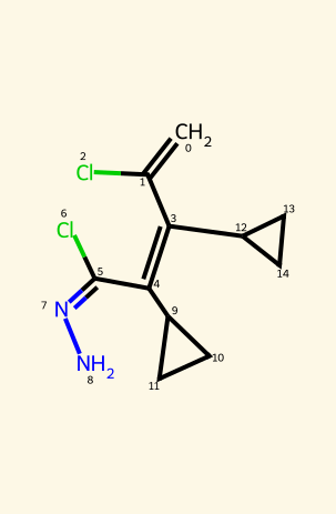 C=C(Cl)/C(=C(\C(Cl)=N/N)C1CC1)C1CC1